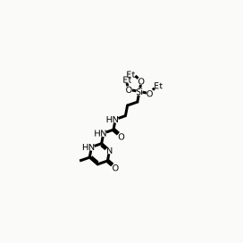 CCO[Si](CCCNC(=O)Nc1nc(=O)cc(C)[nH]1)(OCC)OCC